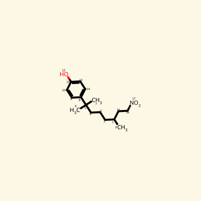 CC(CCCC(C)(C)c1ccc(O)cc1)CC[N+](=O)[O-]